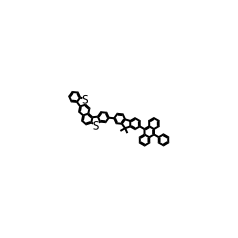 CC1(C)c2cc(-c3ccc4c(c3)sc3ccc5cc6c(cc5c34)sc3ccccc36)ccc2-c2ccc(-c3c4ccccc4c(-c4ccccc4)c4ccccc34)cc21